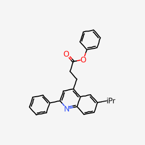 CC(C)c1ccc2nc(-c3ccccc3)cc(CCC(=O)Oc3ccccc3)c2c1